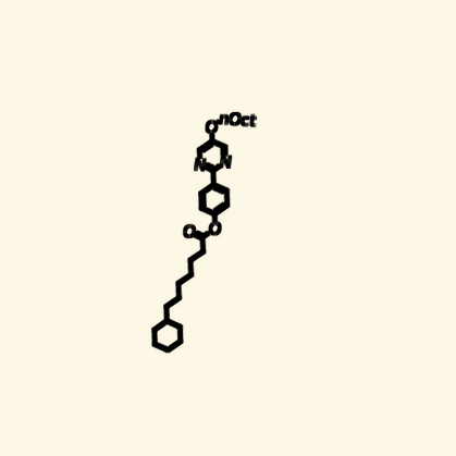 CCCCCCCCOc1cnc(-c2ccc(OC(=O)CCCCCCC3CCCCC3)cc2)nc1